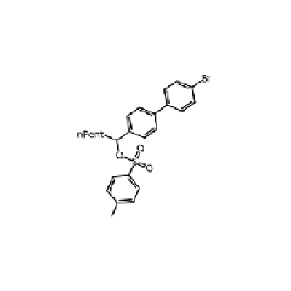 CCCCCC(OS(=O)(=O)c1ccc(C)cc1)c1ccc(-c2ccc(Br)cc2)cc1